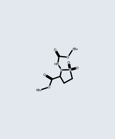 CC(C)(C)OC(=O)NN1C(C(=O)OC(C)(C)C)CCS1(=O)=O